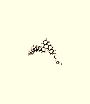 CCCCOc1ccc2c(c1)CC[C@H](c1ccccc1)[C@@H]2c1ccc(OS(=O)(=O)C(F)(F)C(F)(F)C(F)(F)C(F)(F)F)cc1